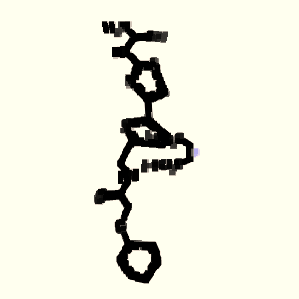 N=C(N)Nc1nc(-c2ccc(CNC(=O)COc3ccccc3)s2)cs1.O=C(O)/C=C\C(=O)O